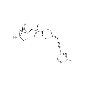 Cc1cccc(C#CC=C2CCN(S(=O)(=O)C[C@]34CC[C@H](CC3=O)C4(C)C)CC2)n1